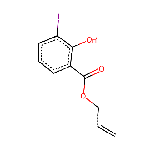 C=CCOC(=O)c1cccc(I)c1O